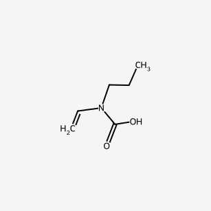 C=CN(CCC)C(=O)O